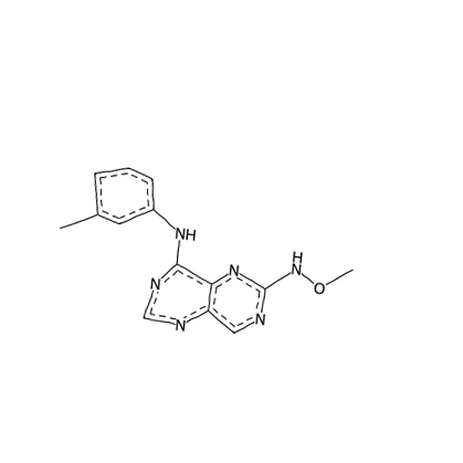 CONc1ncc2ncnc(Nc3cccc(C)c3)c2n1